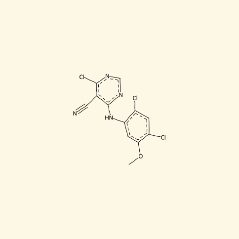 COc1cc(Nc2ncnc(Cl)c2C#N)c(Cl)cc1Cl